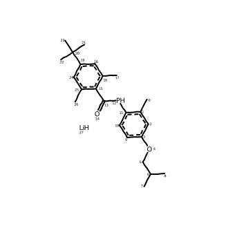 Cc1cc(OCC(C)C)ccc1PC(=O)c1c(C)cc(C(C)(C)C)cc1C.[LiH]